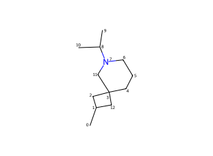 CC1CC2(CCCN(C(C)C)C2)C1